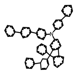 C1=CC(c2ccccc2)CC(C2(c3ccccc3)c3ccccc3-c3ccc(N(c4ccc(-c5ccccc5)cc4)c4ccc(-c5ccc(-c6ccccc6)cc5)cc4)cc32)=C1